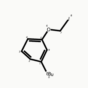 CC(C)(C)c1cccc(OCI)c1